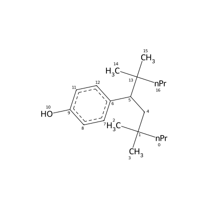 CCCC(C)(C)CC(c1ccc(O)cc1)C(C)(C)CCC